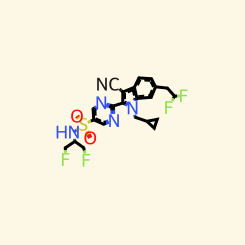 N#Cc1c(-c2ncc(S(=O)(=O)NC(CF)CF)cn2)n(CC2CC2)c2cc(CC(F)F)ccc12